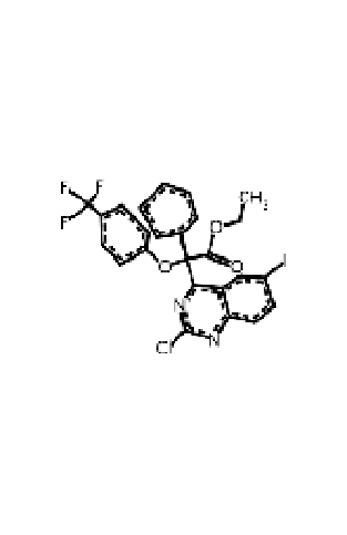 CCOC(=O)C(Oc1ccc(C(F)(F)F)cc1)(c1ccccc1)c1nc(Cl)nc2ccc(I)cc12